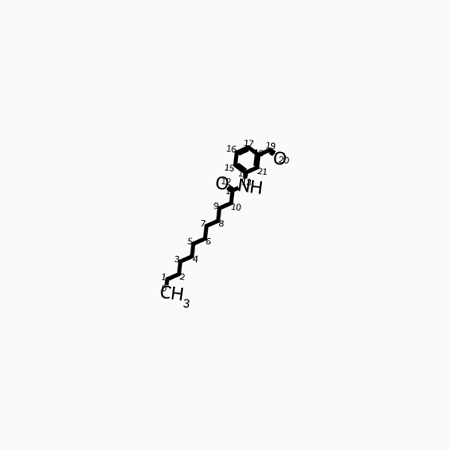 CCCCCCCCCCCC(=O)Nc1cccc(C=O)c1